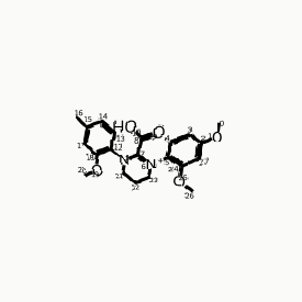 COc1ccc([N+]2=C(C(=O)O)N(c3ccc(C)cc3OC)CCC2)c(OC)c1